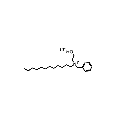 CCCCCCCCCCCC[N+](C)(CCO)Cc1ccccc1.[Cl-]